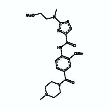 COCCN(C)c1nc(C(=O)Nc2ccc(C(=O)N3CCN(C)CC3)cc2OC)cs1